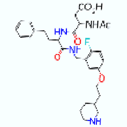 CC(=O)NC(CC(=O)O)C(=O)NC(CCc1ccccc1)C(=O)NCc1cc(OCCC2CCCNC2)ccc1F